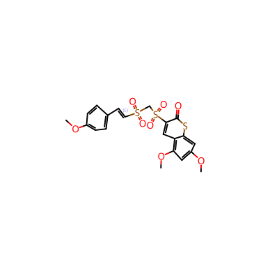 COc1ccc(/C=C/S(=O)(=O)CS(=O)(=O)c2cc3c(OC)cc(OC)cc3sc2=O)cc1